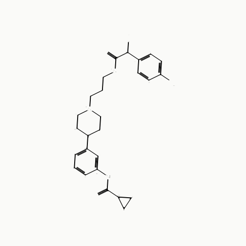 CC(C(=O)NCCCN1CCC(c2cccc(NC(=O)C3CC3)c2)CC1)c1ccc(Cl)cc1